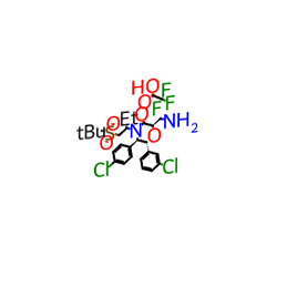 CCC(CS(=O)(=O)C(C)(C)C)N1C(=O)[C@@H](CN)O[C@H](c2cccc(Cl)c2)[C@H]1c1ccc(Cl)cc1.O=C(O)C(F)(F)F